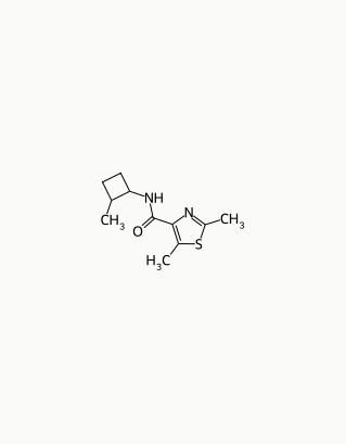 Cc1nc(C(=O)NC2CCC2C)c(C)s1